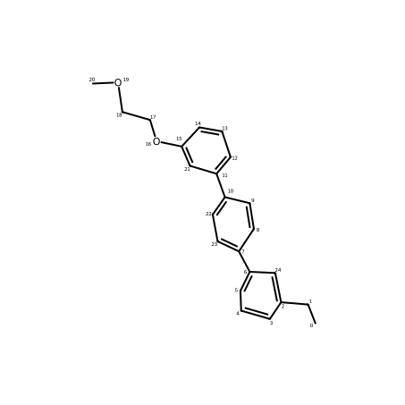 CCc1cccc(-c2ccc(-c3cccc(OCCOC)c3)cc2)c1